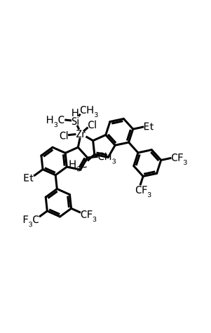 CCc1ccc2c(c1-c1cc(C(F)(F)F)cc(C(F)(F)F)c1)C=C(C)[CH]2[Zr]([Cl])([Cl])([CH]1C(C)=Cc2c1ccc(CC)c2-c1cc(C(F)(F)F)cc(C(F)(F)F)c1)[SiH](C)C